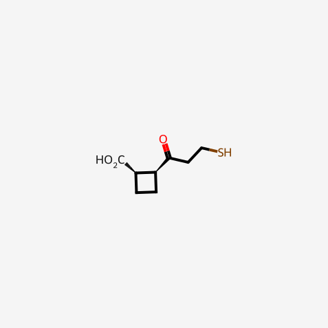 O=C(CCS)[C@H]1CC[C@H]1C(=O)O